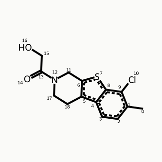 Cc1ccc2c3c(sc2c1Cl)CN(C(=O)CO)CC3